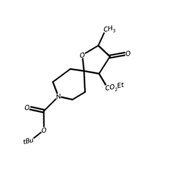 CCOC(=O)C1C(=O)C(C)OC12CCN(C(=O)OC(C)(C)C)CC2